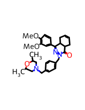 COc1ccc(C2=NN(Cc3ccc(CN4CC(C)OC(C)C4)cc3)C(=O)C3CC=CCC23)cc1OC